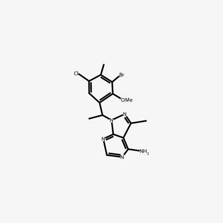 COc1c(C(C)n2nc(C)c3c(N)ncnc32)cc(Cl)c(C)c1Br